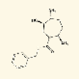 C[C@@H]1CC[C@@H](N)[C@H](O)CN1C(=O)OCc1ccccc1